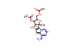 CC(C)C(=O)OCC1OC(C#N)(c2ccc3c(N)ncnn23)C(O)C1OC(=O)C(C)C